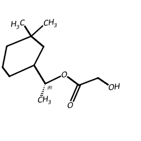 C[C@@H](OC(=O)CO)C1CCCC(C)(C)C1